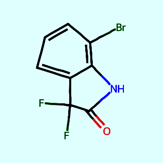 O=C1Nc2c(Br)cccc2C1(F)F